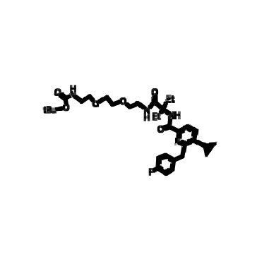 CCC(CC)(NC(=O)c1ccc(C2CC2)c(Cc2ccc(F)cc2)n1)C(=O)NCCOCCOCCNC(=O)OC(C)(C)C